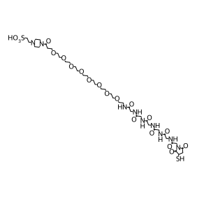 O=C(CNC(=O)CNC(=O)CNC(=O)CNC(=O)CNC(=O)CN1C(=O)CC(S)C1=O)NCCOCCOCCOCCOCCOCCOCCOCCOCCC(=O)N1CCN(CCS(=O)(=O)O)CC1